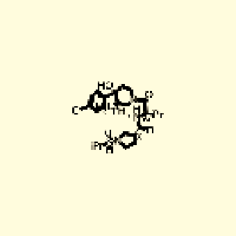 CC(C)[C@@H](NC(=O)[C@@H]1CCN(S(=O)(=O)C(C)C)C1)C(=O)N1CC[C@](O)(c2ccc(Cl)cc2)C(C)(C)C1